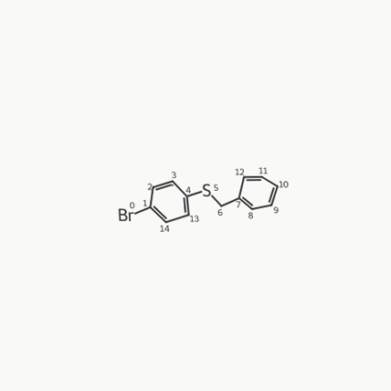 Brc1c[c]c(SCc2ccccc2)cc1